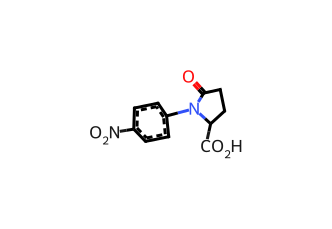 O=C(O)C1CCC(=O)N1c1ccc([N+](=O)[O-])cc1